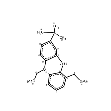 CNCc1ccccc1Pc1cc([Si](C)(C)C)ccc1OCOC